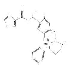 CC(NC(=O)c1c[nH]cn1)c1cc(F)c(CN2[C@@H](C)CC[C@H](c3ccccc3)S2(=O)=O)cc1F